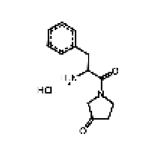 Cl.NC(Cc1ccccc1)C(=O)N1CCC(=O)C1